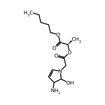 CCCCCOC(=O)[C@@H](C)OC(=O)CN1C=CC(N)C1O